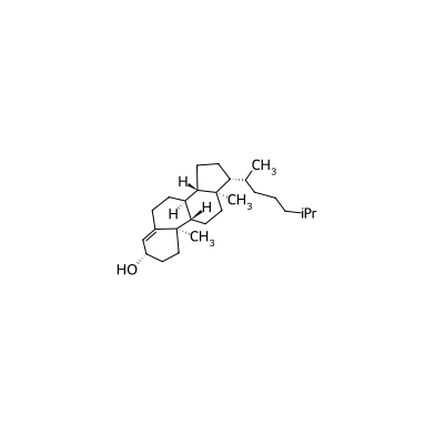 CC(C)CCCC(C)[C@H]1CC[C@H]2[C@@H]3CCC4=C[C@@H](O)CC[C@]4(C)[C@H]3CC[C@]12C